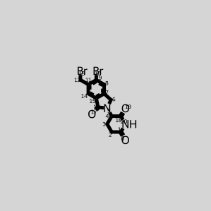 O=C1CCC(N2Cc3cc(Br)c(CBr)cc3C2=O)C(=O)N1